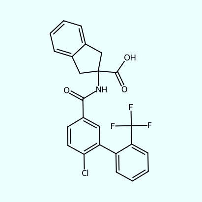 O=C(NC1(C(=O)O)Cc2ccccc2C1)c1ccc(Cl)c(-c2ccccc2C(F)(F)F)c1